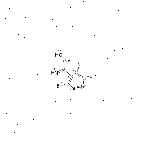 Cc1nnc(Br)c(C(=N)NO)c1C